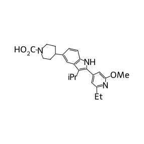 CCc1cc(-c2[nH]c3ccc(C4CCN(C(=O)O)CC4)cc3c2C(C)C)cc(OC)n1